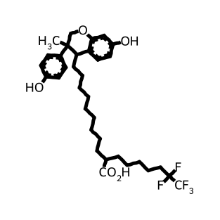 CC1(c2ccc(O)cc2)COc2cc(O)ccc2C1CCCCCCCCCC(CCCCCC(F)(F)C(F)(F)F)C(=O)O